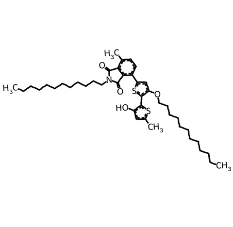 CCCCCCCCCCCCOc1cc(-c2ccc(C)c3c2C(=O)N(CCCCCCCCCCCC)C3=O)sc1-c1sc(C)cc1O